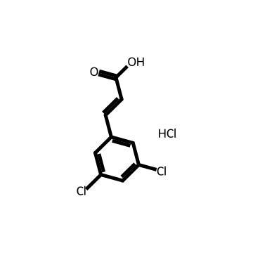 Cl.O=C(O)C=Cc1cc(Cl)cc(Cl)c1